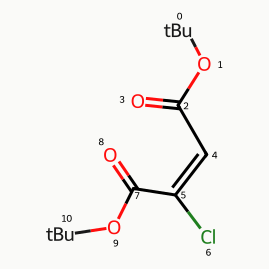 CC(C)(C)OC(=O)/C=C(/Cl)C(=O)OC(C)(C)C